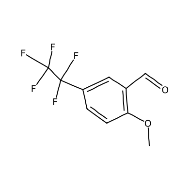 COc1ccc(C(F)(F)C(F)(F)F)cc1C=O